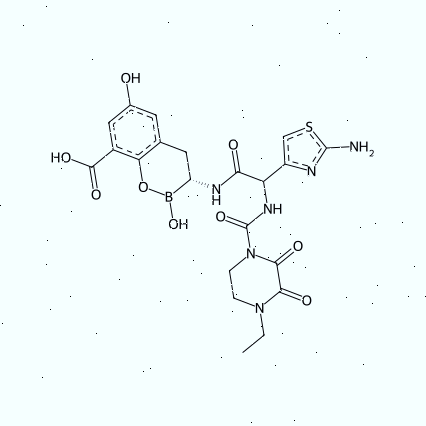 CCN1CCN(C(=O)NC(C(=O)N[C@H]2Cc3cc(O)cc(C(=O)O)c3OB2O)c2csc(N)n2)C(=O)C1=O